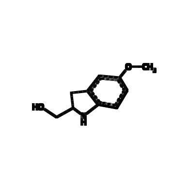 COc1ccc2c(c1)CC(CO)N2